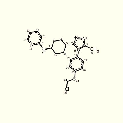 Cc1nnc([C@H]2CC[C@H](Oc3ccccn3)CC2)n1-c1ccc(SCCl)cc1